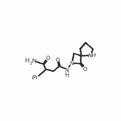 CC(C)C(CC(=O)NN1CC2(CCCN2)C1=O)C(N)=O